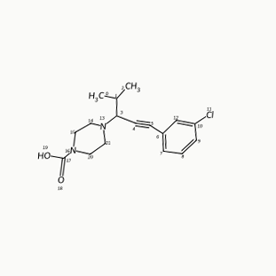 CC(C)C(C#Cc1cccc(Cl)c1)N1CCN(C(=O)O)CC1